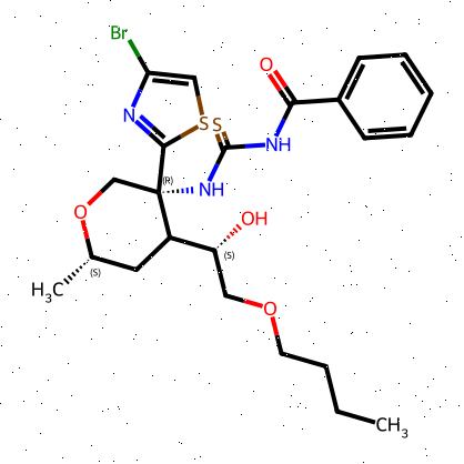 CCCCOC[C@@H](O)C1C[C@H](C)OC[C@@]1(NC(=S)NC(=O)c1ccccc1)c1nc(Br)cs1